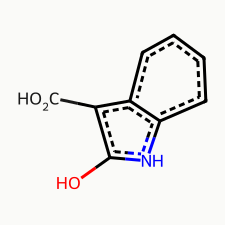 O=C(O)c1c(O)[nH]c2ccccc12